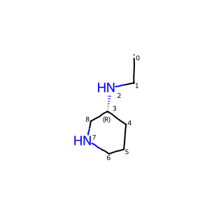 [CH2]CN[C@@H]1CCCNC1